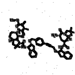 C[C@@H](C(=O)N[C@H]1CCS[C@H]2CC(C)(C)[C@@H](C(=O)N[C@H]3c4ccccc4C[C@H]3OCc3ccc(C#CCO[C@@H]4Cc5ccccc5[C@@H]4NC(=O)C4C[C@H](N)C(=O)N5CC(C)(C)C[C@@H]5S4)cc3)N2C1=O)N(C)C(=O)OC(C)(C)C